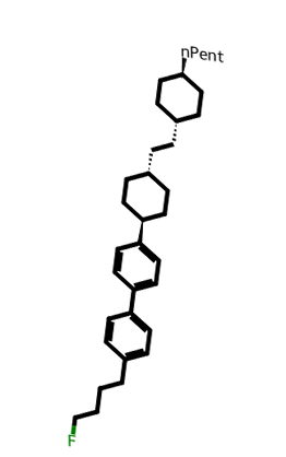 CCCCC[C@H]1CC[C@H](CC[C@H]2CC[C@H](c3ccc(-c4ccc(CCCCF)cc4)cc3)CC2)CC1